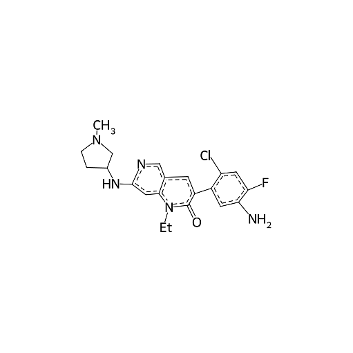 CCn1c(=O)c(-c2cc(N)c(F)cc2Cl)cc2cnc(NC3CCN(C)C3)cc21